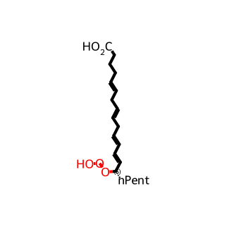 CCCCC[C@@H](C=CC=CCC=CCC=CCCCC(=O)O)OOO